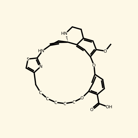 COc1cc2c3cc1Oc1ccc(C(=O)O)c(c1)OCCCCCCc1csc(n1)NC1=C[C@]3(C1)NCC2